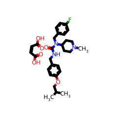 CC(C)COc1ccc(CNC(=O)N(Cc2ccc(F)cc2)C2CCN(C)CC2)cc1.O=C(O)/C=C\C(=O)O